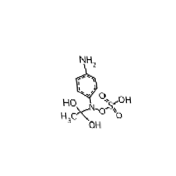 CC(O)(O)N(OS(=O)(=O)O)c1ccc(N)cc1